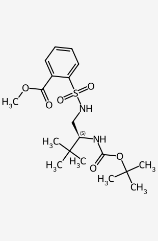 COC(=O)c1ccccc1S(=O)(=O)NC[C@@H](NC(=O)OC(C)(C)C)C(C)(C)C